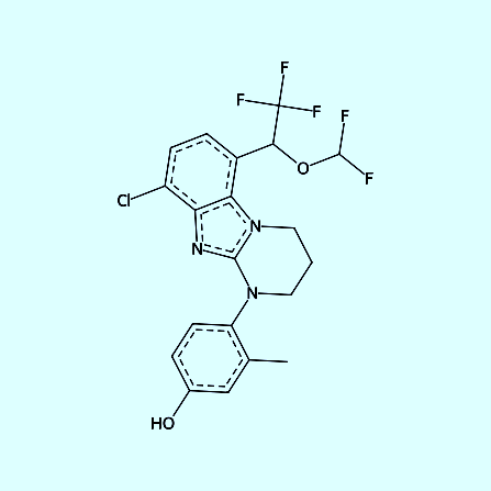 Cc1cc(O)ccc1N1CCCn2c1nc1c(Cl)ccc(C(OC(F)F)C(F)(F)F)c12